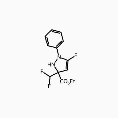 CCOC(=O)C1(C(F)F)C=C(F)N(c2ccccc2)N1